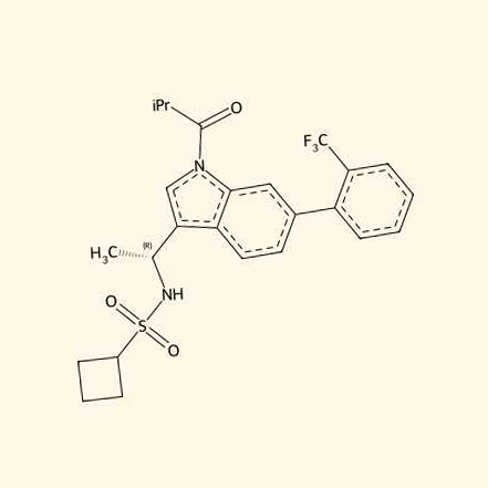 CC(C)C(=O)n1cc([C@@H](C)NS(=O)(=O)C2CCC2)c2ccc(-c3ccccc3C(F)(F)F)cc21